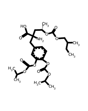 CCC(C)COC(=O)O[C@@H](C)CC(N)(Cc1ccc(OC(=O)OC(C)C)c(OC(=O)OC(C)C)c1)C(=O)O